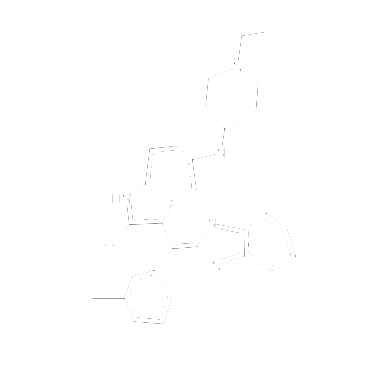 CCN1CCC(Nc2ccc3[nH]c(O)c(C(=C4N=c5ccccc5=N4)c4cc(F)cc(F)c4)c3c2)CC1